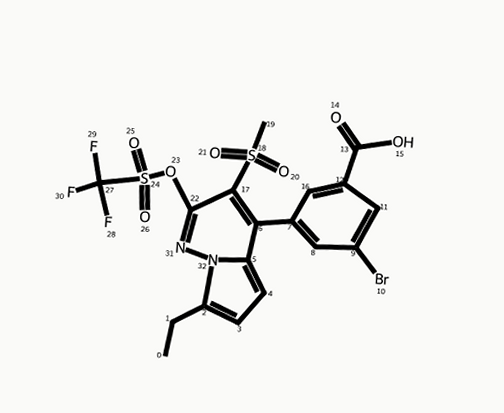 CCc1ccc2c(-c3cc(Br)cc(C(=O)O)c3)c(S(C)(=O)=O)c(OS(=O)(=O)C(F)(F)F)nn12